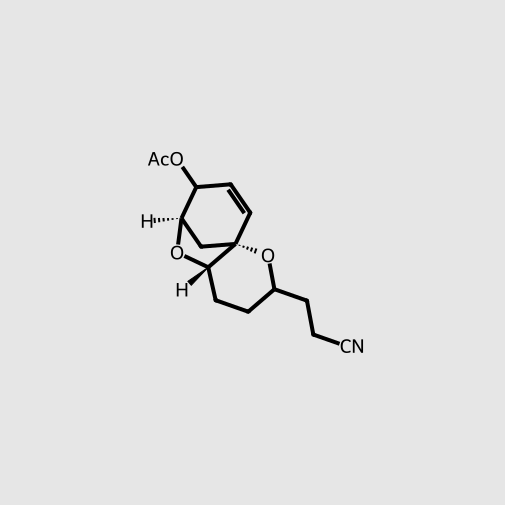 CC(=O)OC1C=C[C@]23C[C@H]1O[C@H]2CCC(CCC#N)O3